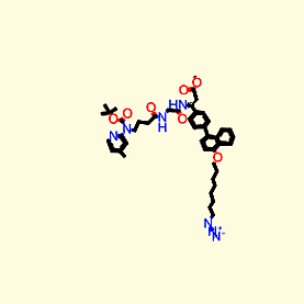 COC(=O)C[C@H](NC(=O)CNC(=O)CCCN(C(=O)OC(C)(C)C)c1cc(C)ccn1)c1ccc(-c2ccc(OCCCCCCCCN=[N+]=[N-])c3ccccc23)cc1